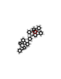 c1ccc(-c2ccccc2N(c2ccc(-c3cccc4c3-c3ccccc3C43c4ccccc4-n4c5ccccc5c5cccc3c54)cc2)c2ccc3c(c2)C(c2ccccc2)(c2ccccc2)c2ccccc2-3)cc1